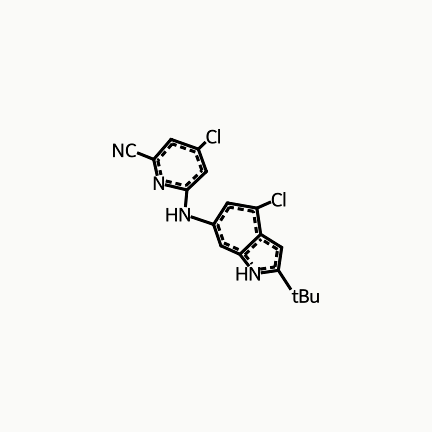 CC(C)(C)c1cc2c(Cl)cc(Nc3cc(Cl)cc(C#N)n3)cc2[nH]1